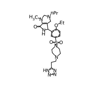 CCCN1CC2=C(C(=O)NC2c2cc(S(=O)(=O)N3CCN(CCc4nnn[nH]4)CC3)ccc2OCC)N(C)C1